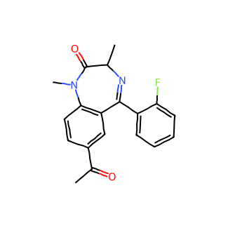 CC(=O)c1ccc2c(c1)C(c1ccccc1F)=NC(C)C(=O)N2C